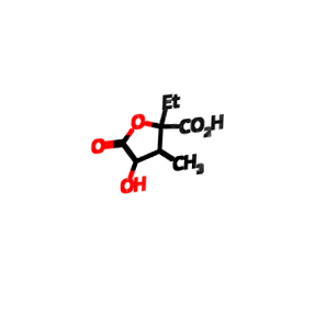 CCC1(C(=O)O)OC(=O)C(O)C1C